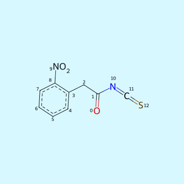 O=C(Cc1ccccc1[N+](=O)[O-])N=C=S